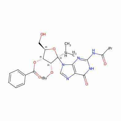 CC(C)C(=O)Nc1nc2c(ncn2[C@]2([SiH](C)C)O[C@H](CO)[C@@H](OC(=O)c3ccccc3)[C@H]2OC(C)(C)C)c(=O)[nH]1